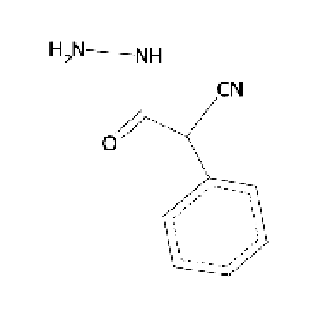 N#CC(C(=O)NN)c1ccccc1